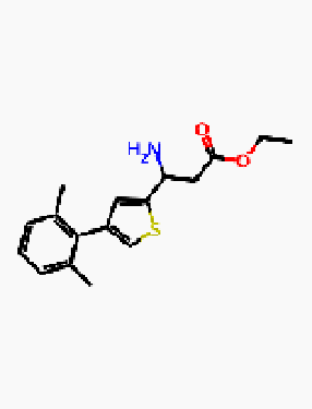 CCOC(=O)CC(N)c1cc(-c2c(C)cccc2C)cs1